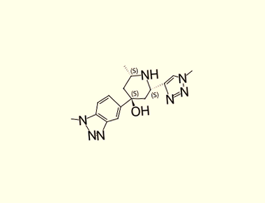 C[C@H]1C[C@@](O)(c2ccc3c(c2)nnn3C)C[C@@H](c2cn(C)nn2)N1